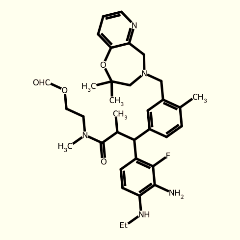 CCNc1ccc(C(c2ccc(C)c(CN3Cc4ncccc4OC(C)(C)C3)c2)C(C)C(=O)N(C)CCOC=O)c(F)c1N